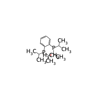 CC(C)P(c1ccccc1P(C(C)C)C(C)C)C(C)C